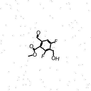 COC(=O)c1c(C=O)cc(F)c(CO)c1F